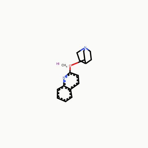 C.I.c1ccc2nc(OC3CN4CCC3CC4)ccc2c1